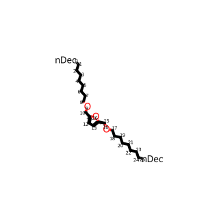 CCCCCCCCCCCCCCCCCCOCc1ccc(COCCCCCCCCCCCCCCCCCC)o1